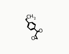 C=Cc1ccc(C(=O)C2CO2)cc1